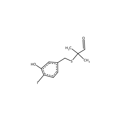 CC(C)(C=O)SCc1ccc(I)c(O)c1